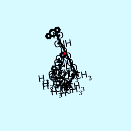 CC[C@H](C)[C@@H]([C@@H](CC(=O)N1CCC[C@H]1[C@H](OC)[C@@H](C)C(=O)N[C@@H](Cc1ccccc1)C(=O)O)OC)N(C)C(=O)[C@@H](NC(=O)[C@H](C(C)C)N(C)C(=O)CCCC(=O)N(C)CCOCCOCCOCCOCCNC(=O)CCC(=O)N1Cc2ccccc2C#Cc2ccccc21)C(C)C